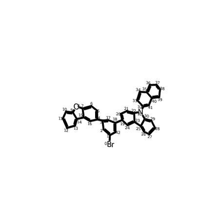 Brc1cc(-c2ccc3oc4ccccc4c3c2)cc(-c2ccc3c(c2)c2ccccc2n3-c2ccc3ccccc3c2)c1